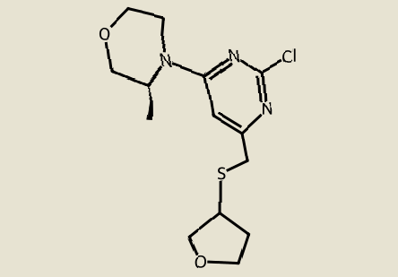 C[C@H]1COCCN1c1cc(CSC2CCOC2)nc(Cl)n1